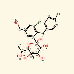 CCc1ccc(Cc2c(F)cc(CO)cc2[C@@]2(O)O[C@H]([C@H](C)O)[C@@](C)(O)[C@H](O)[C@H]2O)cc1